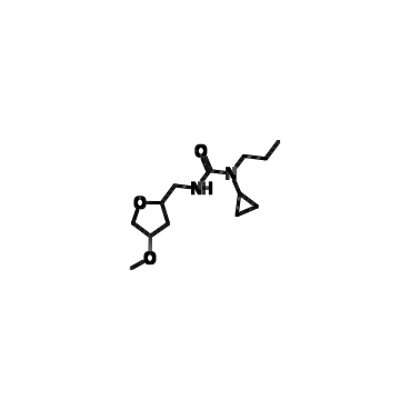 CCCN(C(=O)NCC1CC(OC)CO1)C1CC1